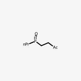 CCC[PH](=O)CCC(C)=O